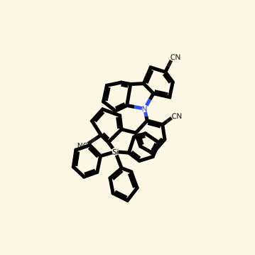 N#Cc1ccc2c(c1)c1ccccc1n2-c1c(C#N)cccc1-c1cccc(C#N)c1[Si](c1ccccc1)(c1ccccc1)c1ccccc1